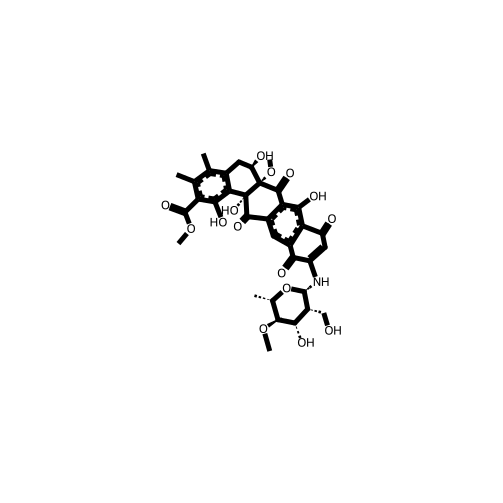 COC(=O)c1c(C)c(C)c2c(c1O)[C@]1(O)C(=O)c3cc4c(c(O)c3C(=O)[C@]1(OC)[C@H](O)C2)C(=O)C=C(N[C@H]1O[C@@H](C)[C@H](OC)[C@@H](O)[C@H]1CO)C4=O